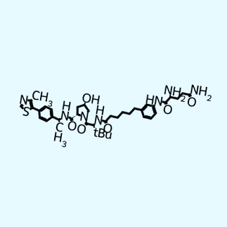 Cc1ncsc1-c1ccc([C@H](C)NC(=O)[C@@H]2C[C@@H](O)CN2C(=O)[C@@H](NC(=O)CCCCCc2cccc(NC(=O)[C@@H](N)CCC(N)=O)c2)C(C)(C)C)cc1